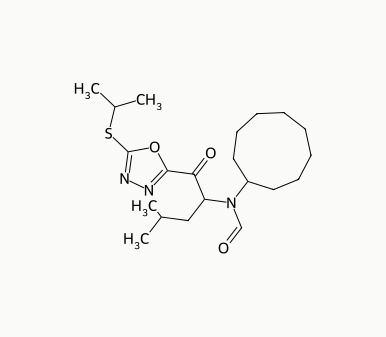 CC(C)CC(C(=O)c1nnc(SC(C)C)o1)N(C=O)C1CCCCCCCC1